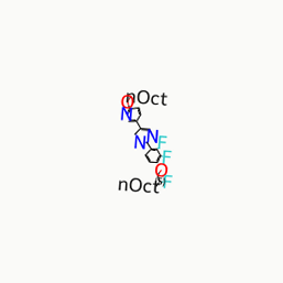 CCCCCCCCOc1ccc(-c2cnc(-c3ccc(OC[C@@H](F)CCCCCCCC)c(F)c3F)nc2)cn1